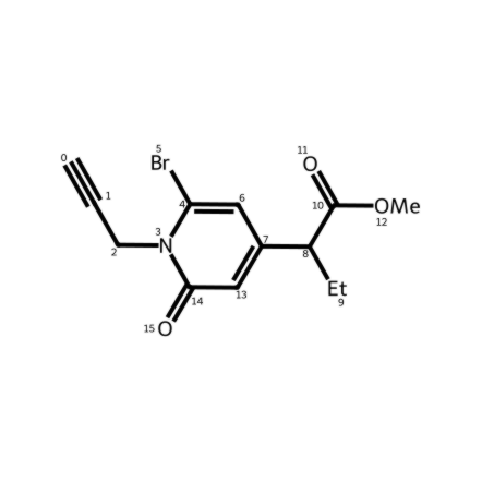 C#CCn1c(Br)cc(C(CC)C(=O)OC)cc1=O